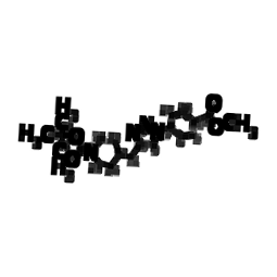 COC(=O)c1ccc(-n2cc(CC3CCN(C(=O)OC(C)(C)C)CC3)nn2)cc1